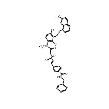 Cc1ccc2cccc(OCc3c(Cl)ccc(N(C)C(=O)CNC(=O)C=Cc4ccc(C(=O)NCc5ccncc5)cc4)c3Cl)c2n1